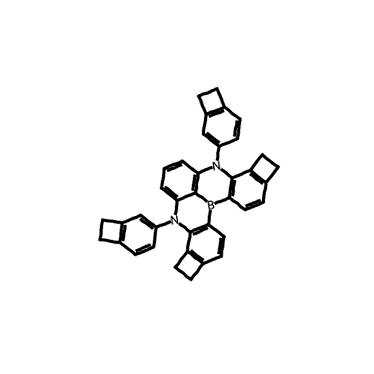 c1cc2c3c(c1)N(c1ccc4c(c1)CC4)c1c(ccc4c1CC4)B3c1ccc3c(c1N2c1ccc2c(c1)CC2)CC3